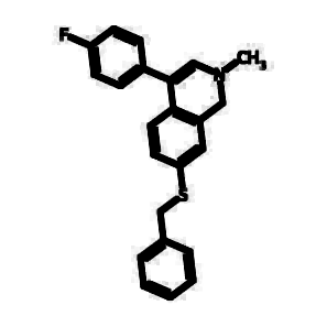 CN1C=C(c2ccc(F)cc2)c2ccc(SCc3ccccc3)cc2C1